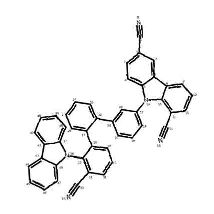 N#Cc1ccc2c(c1)c1cccc(C#N)c1n2-c1cccc(-c2ccccc2-c2cccc(C#N)c2-n2c3ccccc3c3ccccc32)c1